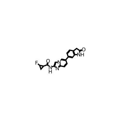 O=C1Cc2ccc(-c3ccc4nc(NC(=O)C5CC5F)cn4c3)cc2N1